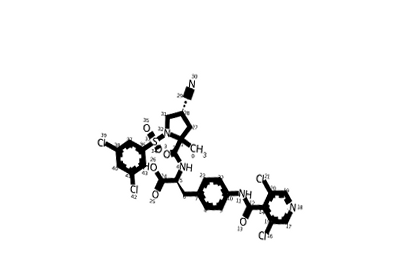 CC1(C(=O)N[C@@H](Cc2ccc(NC(=O)c3c(Cl)cncc3Cl)cc2)C(=O)O)C[C@@H](C#N)CN1S(=O)(=O)c1cc(Cl)cc(Cl)c1